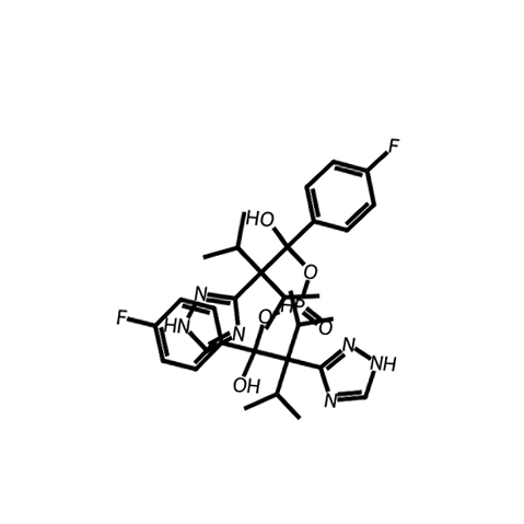 CC(C)C(c1nc[nH]n1)(C(C)C)C(O)(O[PH](=O)OC(O)(c1ccc(F)cc1)C(c1nc[nH]n1)(C(C)C)C(C)C)c1ccc(F)cc1